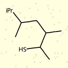 CC(C)C(C)CC(C)C(C)S